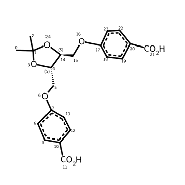 CC1(C)O[C@@H](COc2ccc(C(=O)O)cc2)[C@H](COc2ccc(C(=O)O)cc2)O1